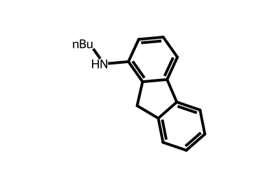 CCCCNc1cccc2c1Cc1ccccc1-2